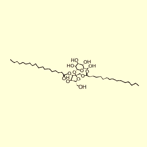 CCCCCCCCCCCCCCCCCC(=O)O[C@H]1[C@H](O)[C@@H](CO)O[C@@]1(COC(=O)CCCCCCCCCCCCCCC)O[C@H]1O[C@H](CO)[C@@H](O)[C@H](O)[C@H]1O